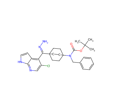 CC(C)(C)OC(=O)N(Cc1ccccc1)C12CCC(C(=NN)c3c(Cl)cnc4[nH]ccc34)(CC1)CC2